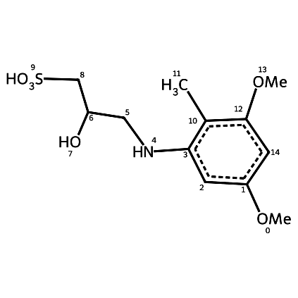 COc1cc(NCC(O)CS(=O)(=O)O)c(C)c(OC)c1